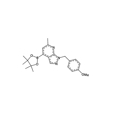 COc1ccc(Cn2ncc3c(B4OC(C)(C)C(C)(C)O4)cc(C)nc32)cc1